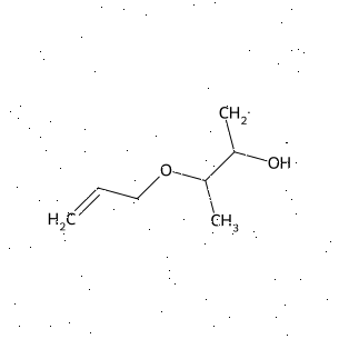 [CH2]C(O)C(C)OCC=C